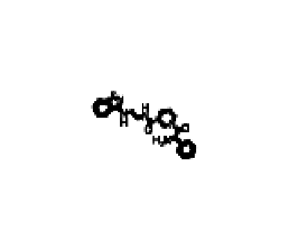 NC(C(=O)N1CCC[C@H](C(=O)NCCNc2nsc3ccccc23)C1)c1ccccc1